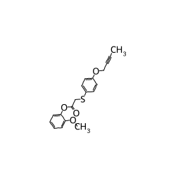 CC#CCOc1ccc(SCC(=O)Oc2ccccc2OC)cc1